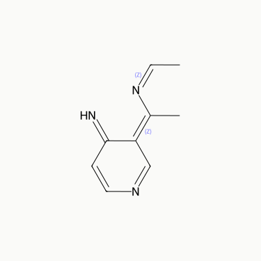 C/C=N\C(C)=C1\C=NC=CC1=N